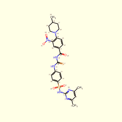 Cc1cc(C)nc(NS(=O)(=O)c2ccc(NC(=S)NC(=O)c3ccc(N4CCC(C)CC4)c([N+](=O)[O-])c3)cc2)n1